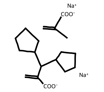 C=C(C(=O)[O-])C(C1CCCC1)C1CCCC1.C=C(C)C(=O)[O-].[Na+].[Na+]